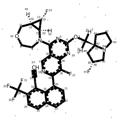 [2H]C([2H])(Oc1nc(N2CCOC[C@H]3[C@H](F)[C@H]32)c2cnc(-c3cccc4ccc(C(F)(F)F)c(C#C)c34)c(F)c2n1)[C@@]12CCCN1C[C@H](F)C2